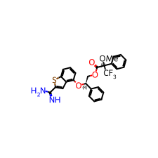 CO[C@@](C(=O)OC[C@H](Oc1cccc2sc(C(=N)N)cc12)c1ccccc1)(c1ccccc1)C(F)(F)F